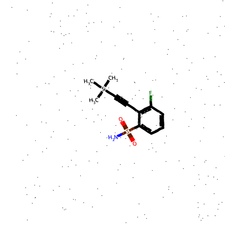 C[Si](C)(C)C#Cc1c(F)cccc1S(N)(=O)=O